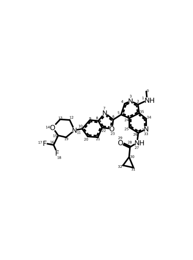 CNc1ncc(-c2nc3cc(N4CCOC(C(F)F)C4)ccc3o2)c2cc(NC(=O)C3CC3)ncc12